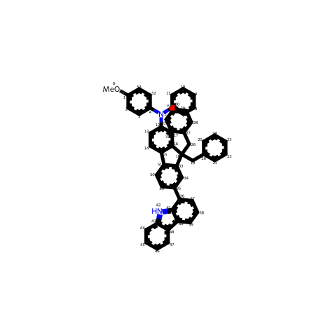 COc1ccc(N(c2ccccc2)c2ccc3c(c2)C(Cc2ccccc2)(Cc2ccccc2)c2cc(-c4cccc5c4[nH]c4ccccc45)ccc2-3)cc1